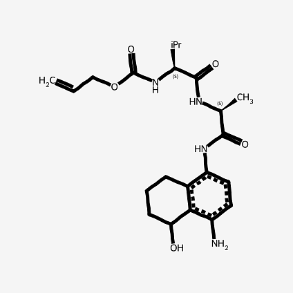 C=CCOC(=O)N[C@H](C(=O)N[C@@H](C)C(=O)Nc1ccc(N)c2c1CCCC2O)C(C)C